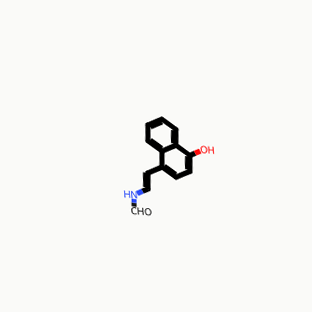 O=CNC=Cc1ccc(O)c2ccccc12